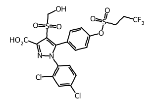 O=C(O)c1nn(-c2ccc(Cl)cc2Cl)c(-c2ccc(OS(=O)(=O)CCC(F)(F)F)cc2)c1S(=O)(=O)CO